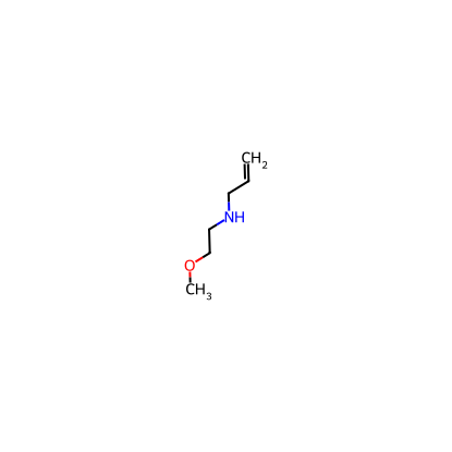 C=CCNCCOC